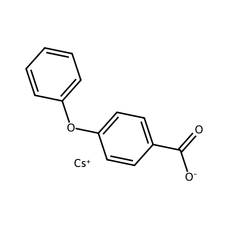 O=C([O-])c1ccc(Oc2ccccc2)cc1.[Cs+]